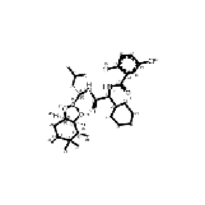 CC(C)C[C@H](NC(=O)C(NC(=O)c1cc(Cl)ccc1Cl)C1CCCCC1)B1O[C@@H]2C[C@H](C)C(C)(C)[C@H](C)[C@]2(C)O1